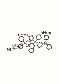 CCCCCCc1ccc(C2(c3ccc(CCCCCC)cc3)c3cc(N(c4ccccc4)c4ccccc4)ccc3-c3c2c2c(c4ccccc34)OC(c3ccccc3)(c3ccc(/C=C(/C#N)C(=O)O)cc3)C=C2)cc1